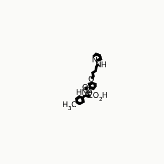 Cc1ccc(C(CC(=O)O)NS(=O)(=O)c2cccc(OCCCCNc3ccccn3)c2)cc1